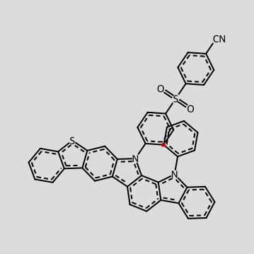 N#Cc1ccc(S(=O)(=O)c2ccc(-n3c4cc5sc6ccccc6c5cc4c4ccc5c6ccccc6n(-c6ccccc6)c5c43)cc2)cc1